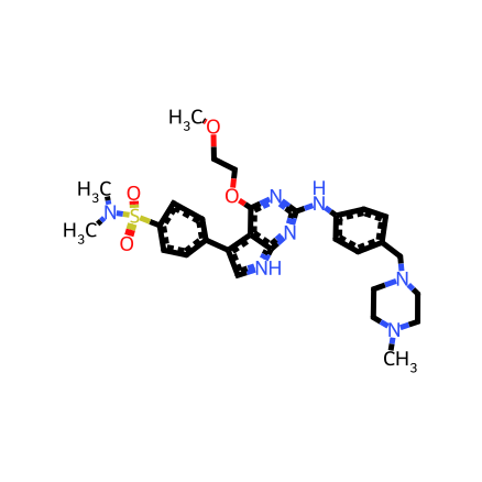 COCCOc1nc(Nc2ccc(CN3CCN(C)CC3)cc2)nc2[nH]cc(-c3ccc(S(=O)(=O)N(C)C)cc3)c12